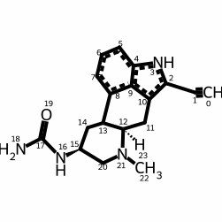 C#Cc1[nH]c2cccc3c2c1C[C@@H]1C3C[C@H](NC(N)=O)CN1C